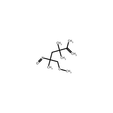 C=C(C)C(C)(C)CC(C)(COC)N=O